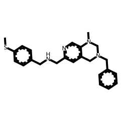 CSc1ccc(CNCc2cc3c(cn2)N(C)CN(Cc2ccccc2)C3)cc1